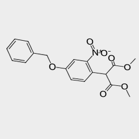 COC(=O)C(C(=O)OC)c1ccc(OCc2ccccc2)cc1[N+](=O)[O-]